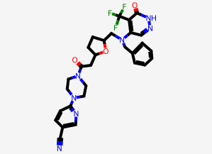 N#Cc1ccc(N2CCN(C(=O)CC3CCC(CN(Cc4ccccc4)c4cn[nH]c(=O)c4C(F)(F)F)O3)CC2)nc1